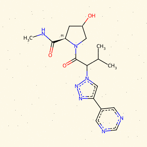 CNC(=O)[C@H]1CC(O)CN1C(=O)C(C(C)C)n1cc(-c2cncnc2)nn1